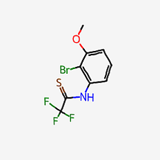 COc1cccc(NC(=S)C(F)(F)F)c1Br